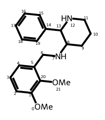 COc1cccc(CNC2CCCNC2c2ccccc2)c1OC